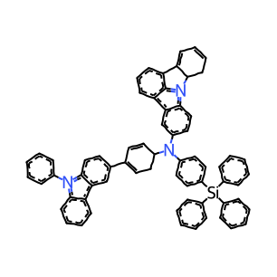 C1=CCC2C(=C1)c1cccc3c4cc(N(c5ccc([Si](c6ccccc6)(c6ccccc6)c6ccccc6)cc5)C5C=CC(c6ccc7c(c6)c6ccccc6n7-c6ccccc6)=CC5)ccc4n2c13